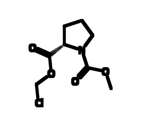 COC(=O)N1CCC[C@H]1C(=O)OCCl